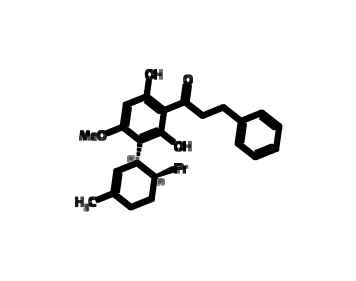 COc1cc(O)c(C(=O)CCc2ccccc2)c(O)c1[C@H]1C=C(C)CC[C@@H]1C(C)C